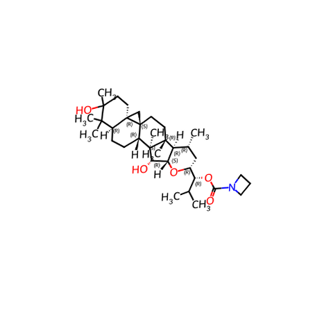 CC(C)[C@@H](OC(=O)N1CCC1)[C@H]1C[C@@H](C)[C@H]2[C@H](O1)[C@H](O)[C@@]1(C)[C@@H]3CC[C@H]4C(C)(C)C(C)(O)CC[C@@]45C[C@@]35CC[C@]21C